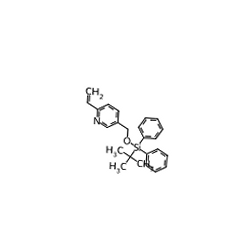 C=Cc1ccc(CO[Si](c2ccccc2)(c2ccccc2)C(C)(C)C)cn1